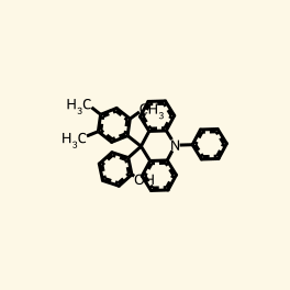 Cc1cc(C)c(C2(c3ccccc3O)c3ccccc3N(c3ccccc3)c3ccccc32)cc1C